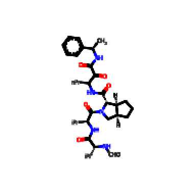 CCCC(NC(=O)[C@@H]1[C@H]2CCC[C@H]2CN1C(=O)[C@@H](NC(=O)[C@H](NC=O)C(C)C)C(C)C)C(=O)C(=O)N[C@H](C)c1ccccc1